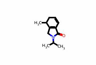 CC1CC=CC2=C1CN(C(C)C)C2=O